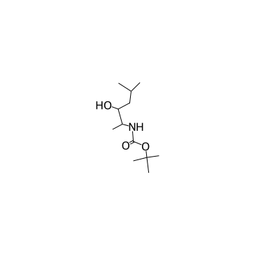 CC(C)CC(O)C(C)NC(=O)OC(C)(C)C